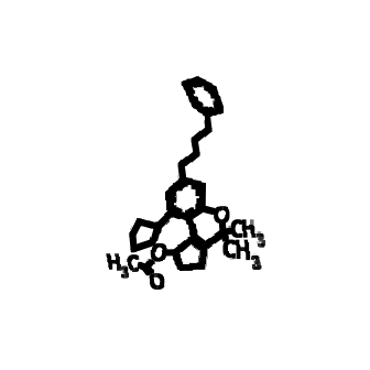 CC(=O)OC1CCC2=C1c1c(cc(CCCCc3ccccc3)cc1C1CCCC1)OC2(C)C